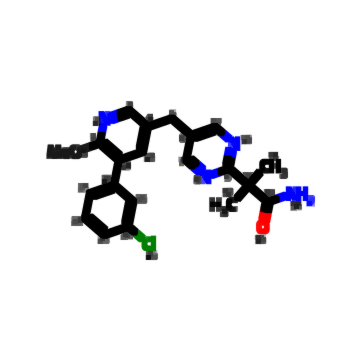 COc1ncc(Cc2cnc(C(C)(C)C(N)=O)nc2)cc1-c1cccc(Cl)c1